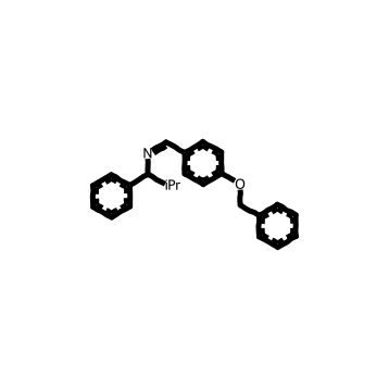 CC(C)C(/N=C\c1ccc(OCc2ccccc2)cc1)c1ccccc1